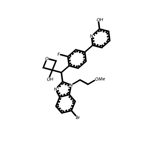 COCCn1c(C(c2ccc(-c3cccc(O)n3)cc2F)C2(O)COC2)nc2ccc(Br)cc21